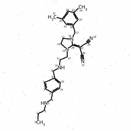 CCCNCc1ccc(CNCCN2CCN(Cc3cc(C)cc(C)c3)C2=C(C#N)C#N)cc1